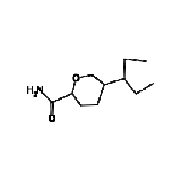 CCC(CC)C1CCC(C(N)=O)OC1